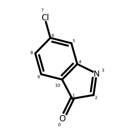 O=C1C=Nc2cc(Cl)ccc21